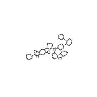 c1ccc(-c2nc3cc4oc5c(N(c6ccc(-c7ccccc7-c7ccccc7)cc6)c6cccc7oc8ccccc8c67)cccc5c4cc3o2)cc1